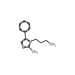 CCCCn1c(-c2ccccc2)cnc1C